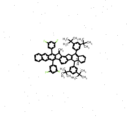 C=C1c2c(ccc3c2CC2=C3C(c3cc(C(C)(C)C)cc(C(C)(C)C)c3)[C@H]3C=CC=CC3=C2c2cc(C(C)(C)C)cc(C(C)(C)C)c2)-c2c1c(-c1cc(F)cc(F)c1)c1cc3ccccc3cc1c2-c1cc(F)cc(F)c1